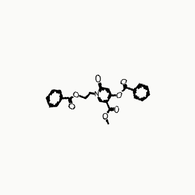 COC(=O)c1cn(CCOC(=O)c2ccccc2)c(=O)cc1OC(=O)c1ccccc1